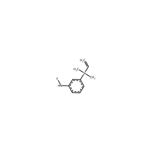 C=C[Si](C)(C)c1cccc(NF)c1